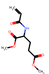 C=CC(=O)NC(CCC(=O)OC)C(=O)OC